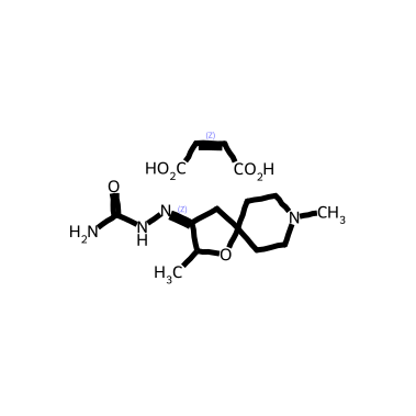 CC1OC2(CCN(C)CC2)C/C1=N/NC(N)=O.O=C(O)/C=C\C(=O)O